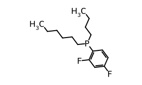 CCCCCCP(CCCC)c1ccc(F)cc1F